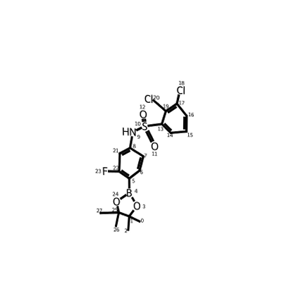 CC1(C)OB(c2ccc(NS(=O)(=O)c3cccc(Cl)c3Cl)cc2F)OC1(C)C